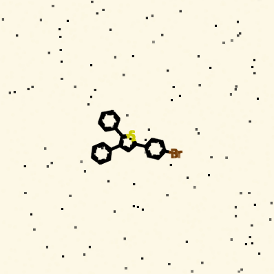 Brc1ccc(-c2cc(-c3ccccc3)c(-c3ccccc3)s2)cc1